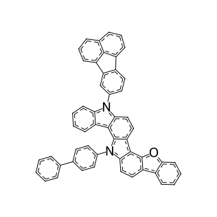 c1ccc(-c2ccc(-n3c4ccc5c6ccccc6oc5c4c4ccc5c(c6ccccc6n5-c5ccc6c(c5)-c5cccc7cccc-6c57)c43)cc2)cc1